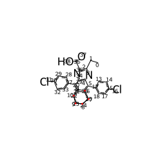 CCc1nc(C(=C2CCCCC2)c2ccc(Cl)cc2)c(C(=C2CCCCC2)c2ccc(Cl)cc2)nc1C(=O)O